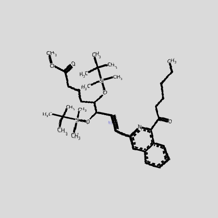 CCCCCC(=O)c1nc(/C=C/C(O[Si](C)(C)C(C)(C)C)C(CCCC(=O)OC)O[Si](C)(C)C(C)(C)C)cc2ccccc12